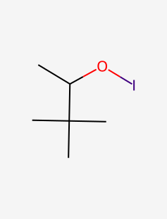 CC(OI)C(C)(C)C